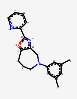 Cc1cc(C)cc(N2CCCc3oc(-c4ccccn4)nc3C2)c1